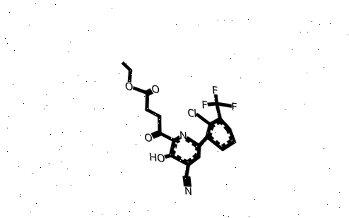 CCOC(=O)CCC(=O)c1nc(-c2cccc(C(F)(F)F)c2Cl)cc(C#N)c1O